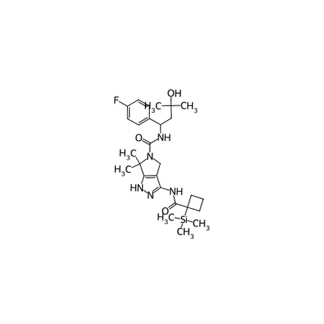 CC(C)(O)CC(NC(=O)N1Cc2c(NC(=O)C3([Si](C)(C)C)CCC3)n[nH]c2C1(C)C)c1ccc(F)cc1